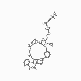 CCn1c(-c2cccnc2[C@H](C)O)c2c3cc(ccc31)-c1cccc(c1)C[C@H](N(C(=O)CCOC1CN(C(=O)C#CC(C)(C)N(C)C)C1)C1CC1)C(=O)N1CCC[C@H](N1)C(=O)OCC(C)(C)C2